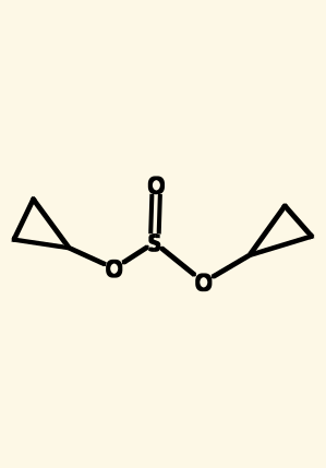 O=S(OC1CC1)OC1CC1